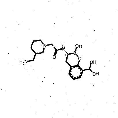 NCC1CCCN(CC(=O)N[C@H]2Cc3cccc(C(O)O)c3OB2O)C1